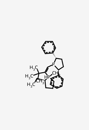 CC[C@@H]1CCC[PH]1(C)/C(=C\P1[C@H](c2ccccc2)CC[C@H]1c1ccccc1)C(C)(C)C